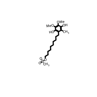 COc1c(O)c(C)c(CCCCCCCCCCOS(C)(=O)=O)c(O)c1OC